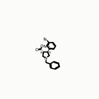 COC(=O)[C@H]1CN(Cc2ccccc2)C[C@@H]1c1cccc(Br)c1